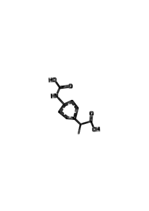 CC(C(=O)O)c1ccc(NC(=O)O)cc1